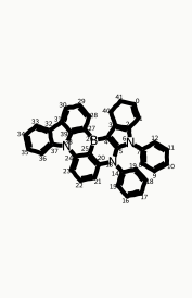 C1=Cc2c(c3c(n2-c2ccccc2)N(c2ccccc2)c2cccc4c2B3c2cccc3c5ccccc5n-4c23)CC1